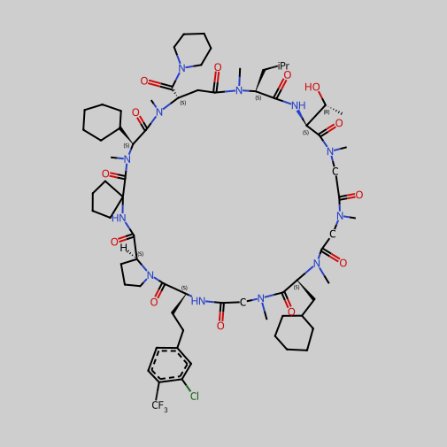 CC(C)C[C@H]1C(=O)N[C@@H]([C@@H](C)O)C(=O)N(C)CC(=O)N(C)CC(=O)N(C)[C@@H](CC2CCCCC2)C(=O)N(C)CC(=O)N[C@@H](CCc2ccc(C(F)(F)F)c(Cl)c2)C(=O)N2CCC[C@H]2C(=O)NC2(CCCC2)C(=O)N(C)[C@@H](C2CCCCC2)C(=O)N(C)[C@H](C(=O)N2CCCCC2)CC(=O)N1C